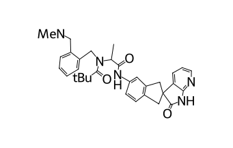 CNCc1ccccc1CN(C(=O)C(C)(C)C)C(C)C(=O)Nc1ccc2c(c1)CC1(C2)C(=O)Nc2ncccc21